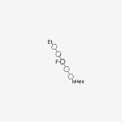 CCCCCCC1CCC(C2CCC(c3ccc(C4=CCC(C5CCC(CC)CC5)CC4)c(F)c3)CC2)CC1